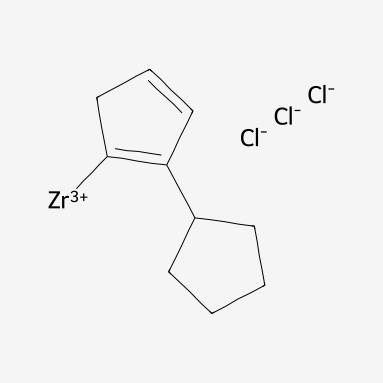 [Cl-].[Cl-].[Cl-].[Zr+3][C]1=C(C2CCCC2)C=CC1